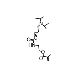 C=C(C)C(=O)OCCNC(=O)OOCCN(C(C)C)C(C)C